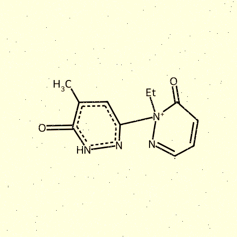 CC[N+]1(c2cc(C)c(=O)[nH]n2)N=[C]C=CC1=O